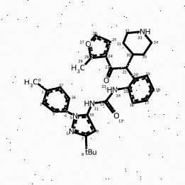 Cc1ccc(-n2nc(C(C)(C)C)cc2NC(=O)Nc2ccccc2C(C(=O)c2ccoc2C)C2CCNCC2)cc1